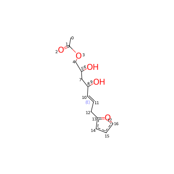 CC(=O)OCC(O)CC(O)/C=C/Cc1ccco1